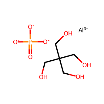 O=P([O-])([O-])[O-].OCC(CO)(CO)CO.[Al+3]